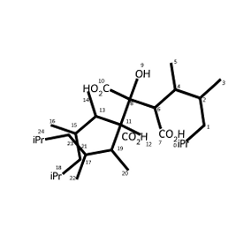 CC(C)CC(C)C(C)C(C(=O)O)C(O)(C(=O)O)C(C(=O)O)(C(C)C(C)CC(C)C)C(C)C(C)CC(C)C